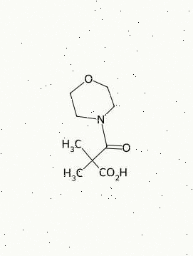 CC(C)(C(=O)O)C(=O)N1CCOCC1